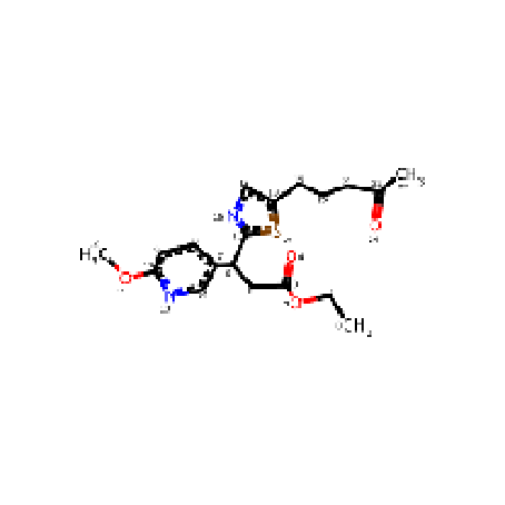 CCOC(=O)CC(c1ccc(OC)nc1)c1ncc(CCCC(C)=O)s1